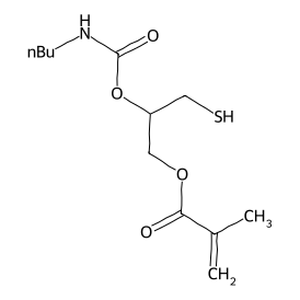 C=C(C)C(=O)OCC(CS)OC(=O)NCCCC